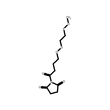 COSCCOOCCCC(=O)N1C(=O)CCC1=O